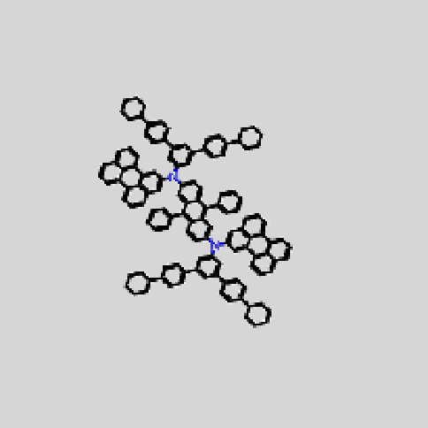 c1ccc(-c2c3ccc(N(c4cc(-c5ccc(C6CCCCC6)cc5)cc(-c5ccc(C6CCCCC6)cc5)c4)c4cc5cccc6c7cccc8cccc(c(c4)c56)c87)cc3c(-c3ccccc3)c3ccc(N(c4cc(-c5ccc(C6CCCCC6)cc5)cc(-c5ccc(C6CCCCC6)cc5)c4)c4cc5cccc6c7cccc8cccc(c(c4)c56)c87)cc23)cc1